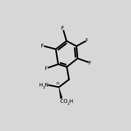 N[C@@H](Cc1c(F)c(F)c(F)c(F)c1F)C(=O)O